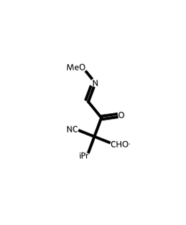 CON=CC(=O)C([C]=O)(C#N)C(C)C